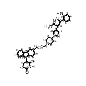 Nc1nnc(-c2ccccc2O)cc1-c1cnn(C2CCN(CCCCc3ccc4c(c3)c3cccnc3n4C3CCC(=O)NC3=O)CC2)c1